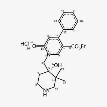 CCOC(=O)c1cn(C[C@]2(O)CCNCC2(C)C)c(=O)cc1-c1ccccc1.Cl